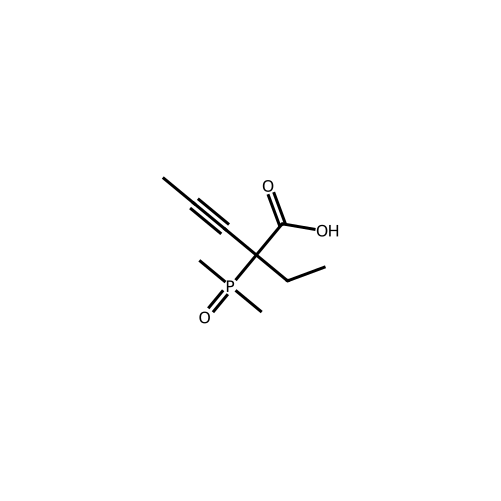 CC#CC(CC)(C(=O)O)P(C)(C)=O